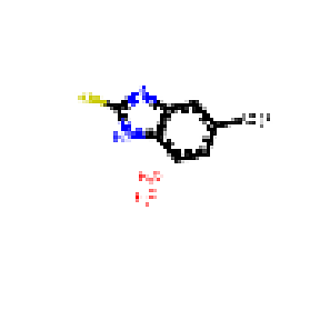 O.O.O=S(=O)(O)c1ccc2[nH]c(S)nc2c1